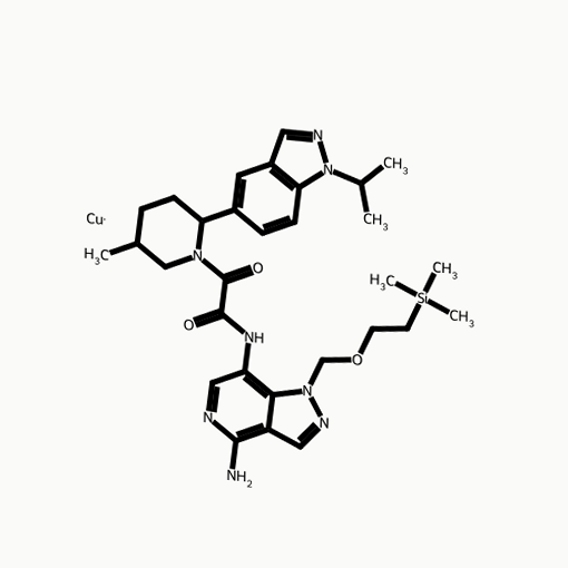 CC1CCC(c2ccc3c(cnn3C(C)C)c2)N(C(=O)C(=O)Nc2cnc(N)c3cnn(COCC[Si](C)(C)C)c23)C1.[Cu]